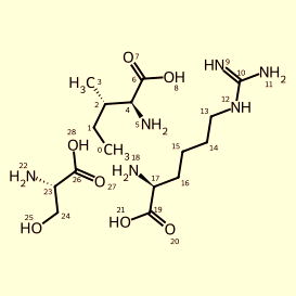 CC[C@H](C)[C@H](N)C(=O)O.N=C(N)NCCCC[C@H](N)C(=O)O.N[C@@H](CO)C(=O)O